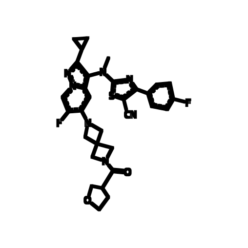 CN(c1nc(-c2ccc(F)cc2)c(C#N)s1)c1c(C2CC2)nn2cc(F)c(N3CC4(CN(C(=O)C5CCOC5)C4)C3)cc12